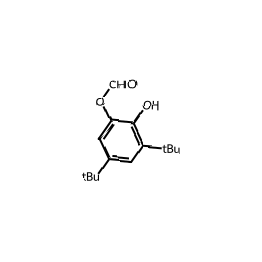 CC(C)(C)c1cc(OC=O)c(O)c(C(C)(C)C)c1